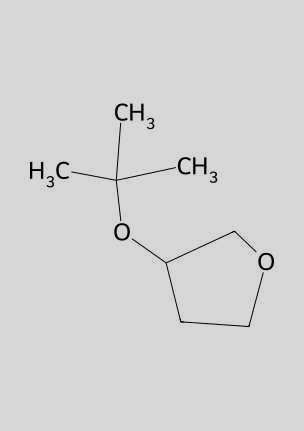 CC(C)(C)OC1CCOC1